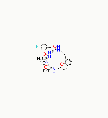 CCC[C@@H]1NCC2CCc3cccc(c3O2)CCCNC(=O)[C@@H](Cc2ccc(F)cc2)NC(=O)[C@@H](C)N(C)C1=O